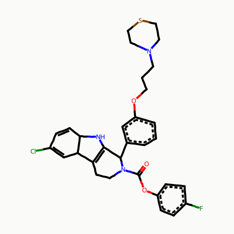 O=C(Oc1ccc(F)cc1)N1CCC2=C(NC3C=CC(Cl)=CC23)C1c1cccc(OCCCN2CCSCC2)c1